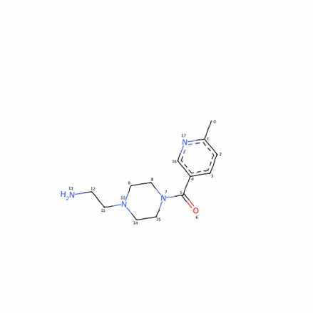 Cc1ccc(C(=O)N2CCN(CCN)CC2)cn1